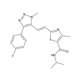 Cc1nc(C=Cc2c(-c3ccc(F)cc3)nnn2C)sc1C(=O)NC(C)C